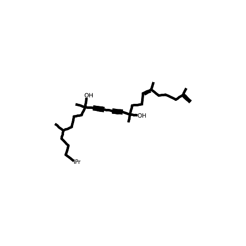 C=C(C)CCCC(C)=CCCC(C)(O)C#CC#CC(C)(O)CCCC(C)CCCC(C)C